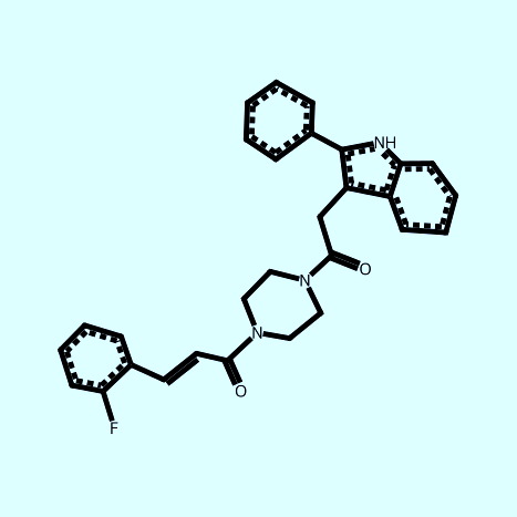 O=C(/C=C/c1ccccc1F)N1CCN(C(=O)Cc2c(-c3ccccc3)[nH]c3ccccc23)CC1